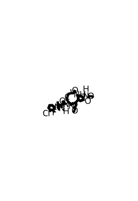 COC(=O)Nc1ccc2c(c1)NC(=O)[C@H](C)CCC[C@H](NC(=O)c1ncn(-c3cccc(Cl)c3F)c1C)c1cc-2cc(OC)n1